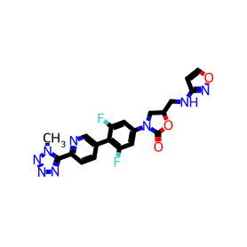 Cn1nnnc1-c1ccc(-c2c(F)cc(N3CC(CNc4ccon4)OC3=O)cc2F)cn1